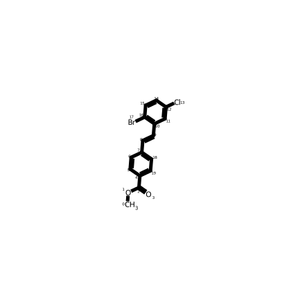 COC(=O)c1ccc(/C=C/c2cc(Cl)ccc2Br)cc1